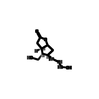 O=C1C[C@H]2C(C[C@@H](PPBO)[C@@H]2CO)O1